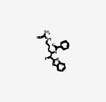 N=C(N)NCCCC(NC(=O)c1ccccc1)C(=O)c1nc2ccccc2s1